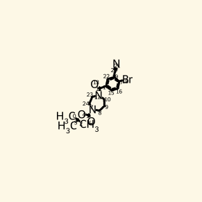 CC(C)(C)OC(=O)N1CCCN(C(=O)c2ccc(Br)c(C#N)c2)CC1